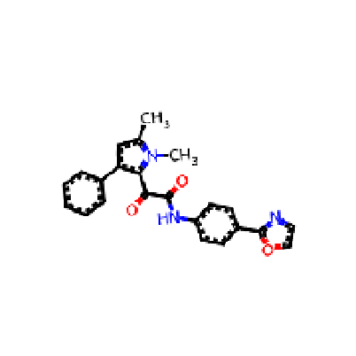 Cc1cc(-c2ccccc2)c(C(=O)C(=O)Nc2ccc(-c3ncco3)cc2)n1C